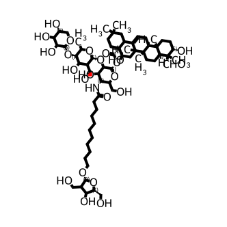 CC1O[C@@H](OC2C(O)[C@@H](NC(=O)CCCCCCCCCCO[C@@H]3O[C@@H](CO)C(O)C3CO)C(CO)O[C@H]2OC(=O)[C@]23CCC(C)(C)CC2C2=CCC4C5(C)CC[C@H](O)C(C)(C=O)[C@H]5CCC4(C)C2(C)CC3O)C(CO)C(O)[C@H]1O[C@@H]1OC[C@@H](O)C(O)C1O